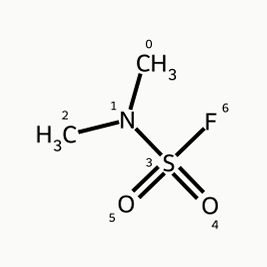 CN(C)S(=O)(=O)F